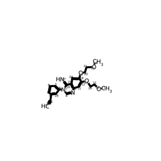 C#Cc1cccc(-n2cnc3cc(OCCOC)c(OCCOC)cc3c2=N)c1